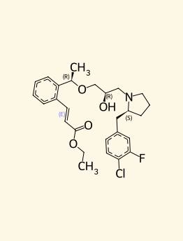 CCOC(=O)/C=C/c1ccccc1[C@@H](C)OC[C@H](O)CN1CCC[C@H]1Cc1ccc(Cl)c(F)c1